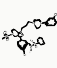 CS(=O)(=O)N1CCc2c(c(-c3ccc(Cl)c(NS(=O)(=O)c4ccccc4)c3)nn2CCCN2CCN(c3cccc(Cl)c3)CC2)C1